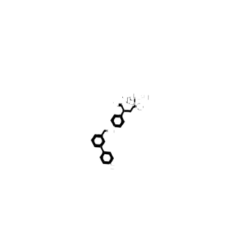 CC(C)(C)OC(=O)CC(C(N)=S)c1ccc(OCc2cccc(-c3ccc(F)cc3)c2)cc1